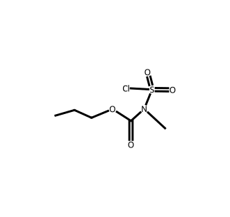 CCCOC(=O)N(C)S(=O)(=O)Cl